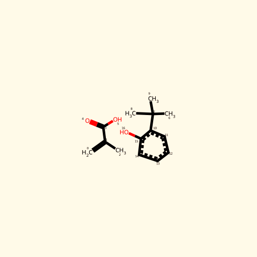 C=C(C)C(=O)O.CC(C)(C)c1ccccc1O